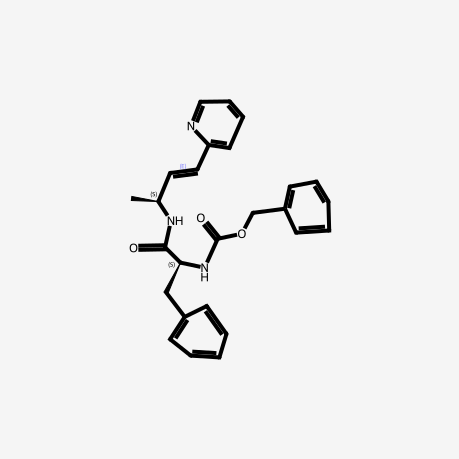 C[C@@H](/C=C/c1ccccn1)NC(=O)[C@H](Cc1ccccc1)NC(=O)OCc1ccccc1